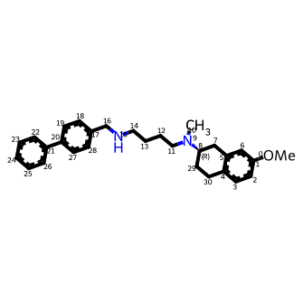 COc1ccc2c(c1)C[C@H](N(C)CCCCNCc1ccc(-c3ccccc3)cc1)CC2